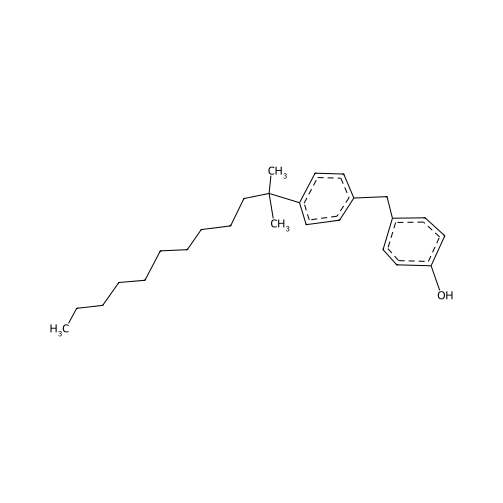 CCCCCCCCCCC(C)(C)c1ccc(Cc2ccc(O)cc2)cc1